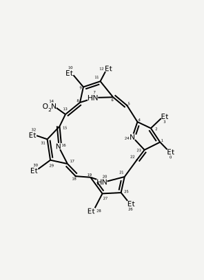 CCC1=C(CC)c2cc3[nH]c(c(CC)c3CC)c([N+](=O)[O-])c3nc(cc4[nH]c(cc1n2)c(CC)c4CC)C(CC)=C3CC